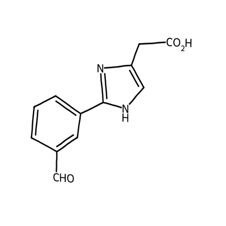 O=Cc1cccc(-c2nc(CC(=O)O)c[nH]2)c1